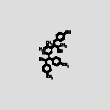 C=C(C)[C@@H](CC(CC)[C@H](C1CCC(C)CC1)C(CC)C1CCC(C)CC1)C(CC1C=CC(O)CC1)[C@@H](C)O